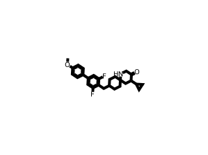 COc1ccc(-c2cc(F)c(CC3CCC4(CC3)CC(C3CC3)C(=O)CN4)c(F)c2)cc1